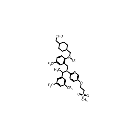 CCN(CC1CCC(CC=O)CC1)c1ccc(C(F)(F)F)cc1CN(c1ncc(OCCS(C)(=O)=O)cn1)C(C)c1cc(C(F)(F)F)cc(C(F)(F)F)c1